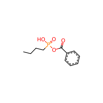 CCCCP(=O)(O)OC(=O)c1ccccc1